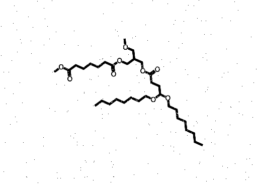 CCCCCCCCOC(CCC(=O)OCC(COC)COC(=O)CCCCCC(=O)OC)OCCCCCCCC